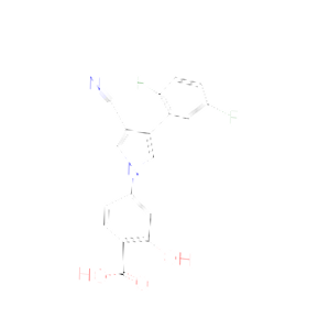 N#Cc1cn(-c2ccc(C(=O)O)c(O)c2)cc1-c1cc(F)ccc1F